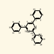 c1ccc(-c2cc(-c3ccccc3)nc(-c3ncccn3)n2)cc1